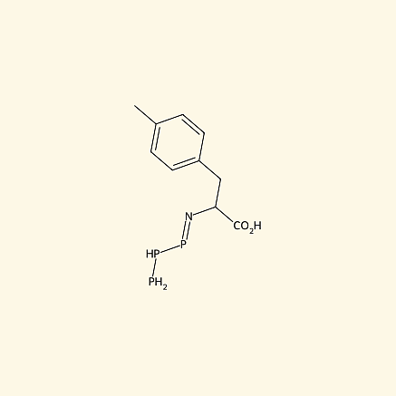 Cc1ccc(CC(/N=P/PP)C(=O)O)cc1